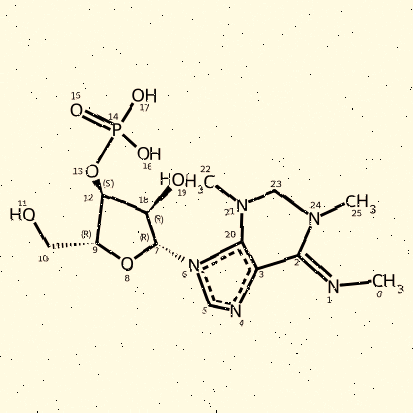 CN=C1c2ncn([C@@H]3O[C@H](CO)[C@@H](OP(=O)(O)O)[C@H]3O)c2N(C)CN1C